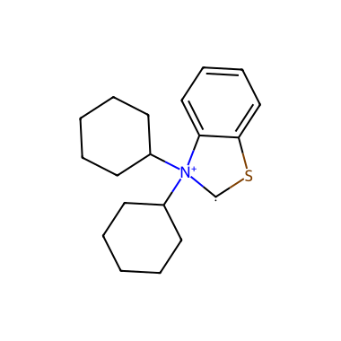 [CH]1Sc2ccccc2[N+]1(C1CCCCC1)C1CCCCC1